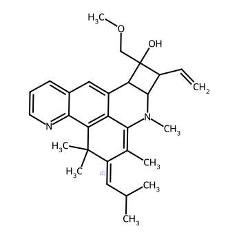 C=CC1C2C(c3cc4cccnc4c4c3C(=C(C)/C(=C\C(C)C)C4(C)C)N2C)C1(O)COC